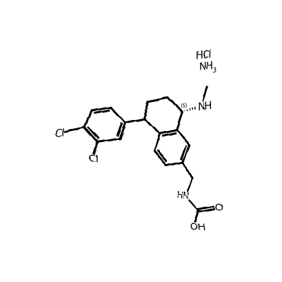 CN[C@H]1CCC(c2ccc(Cl)c(Cl)c2)c2ccc(CNC(=O)O)cc21.Cl.N